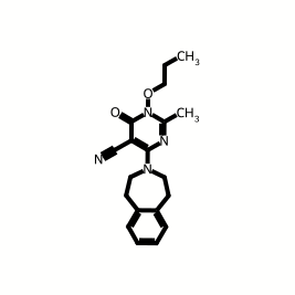 CCCOn1c(C)nc(N2CCc3ccccc3CC2)c(C#N)c1=O